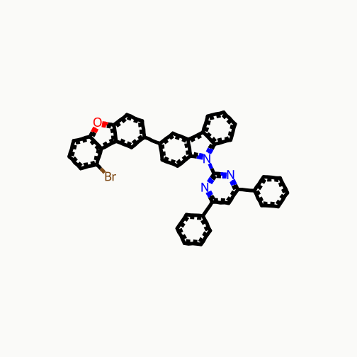 Brc1cccc2oc3ccc(-c4ccc5c(c4)c4ccccc4n5-c4nc(-c5ccccc5)cc(-c5ccccc5)n4)cc3c12